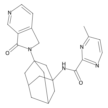 Cc1ccnc(C(=O)NC23CC4CC(C2)CC(N2Cc5ccncc5C2=O)(C4)C3)n1